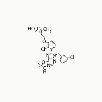 C[C@@H](CCOc1cccc(-c2nc3c(OC4(C)CC4)ncnc3n2Cc2cccc(Cl)c2)c1Cl)C(=O)O